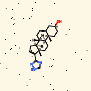 C[C@]12CC[C@H](O)CC1=CC[C@@H]1[C@@H]2CC[C@]2(C)C(c3nc[nH]n3)=CC[C@@H]12